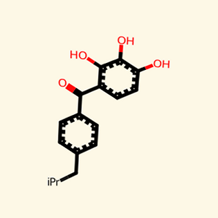 CC(C)Cc1ccc(C(=O)c2ccc(O)c(O)c2O)cc1